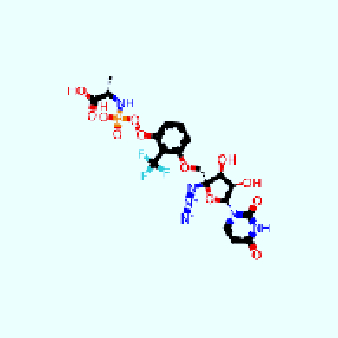 C[C@H](NP(=O)(O)OOc1cccc(OC[C@@]2(N=[N+]=[N-])O[C@@H](n3ccc(=O)[nH]c3=O)[C@H](O)[C@@H]2O)c1C(F)(F)F)C(=O)O